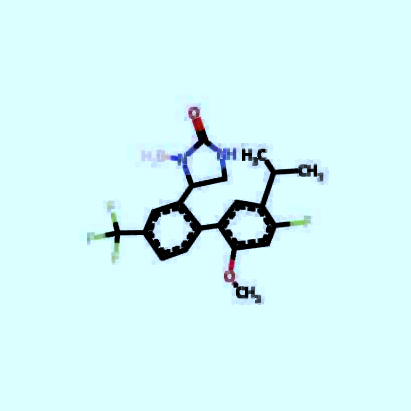 BN1C(=O)NCC1c1cc(C(F)(F)F)ccc1-c1cc(C(C)C)c(F)cc1OC